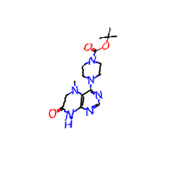 CN1CC(=O)Nc2ncnc(N3CCN(C(=O)OC(C)(C)C)CC3)c21